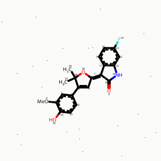 COc1cc(C2=C/C(=C3\C(=O)Nc4cc(F)ccc43)OC2(C)C)ccc1O